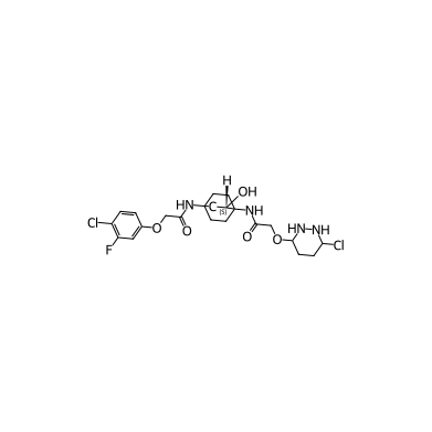 O=C(COc1ccc(Cl)c(F)c1)NC12CCC(NC(=O)COC3CCC(Cl)NN3)(CC1)[C@@H](O)C2